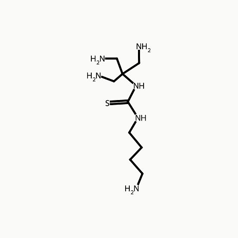 NCCCCNC(=S)NC(CN)(CN)CN